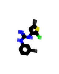 CCc1cccc(NC(=N)Nc2cc(CC)sc2Cl)c1